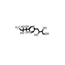 CCC(O)(O)C(O)(O)c1cnc(CC(O)C(O)CO)cn1